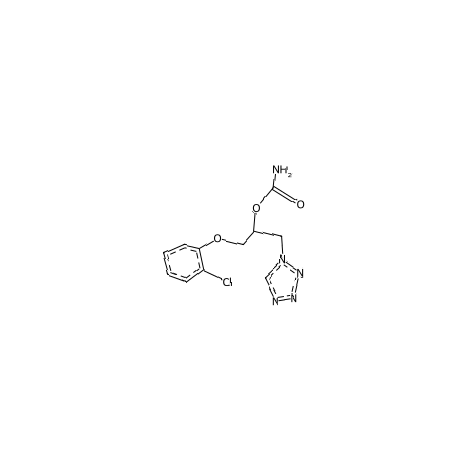 NC(=O)OC(COc1ccccc1Cl)Cn1cnnn1